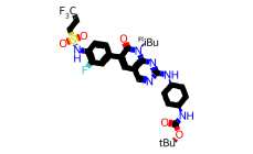 CC[C@@H](C)n1c(=O)c(-c2ccc(NS(=O)(=O)CCC(F)(F)F)c(F)c2)cc2cnc(N[C@H]3CC[C@H](NC(=O)OC(C)(C)C)CC3)nc21